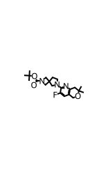 CC(C)(C)OC(=O)N1CC2(CCN(c3nc4c(cc3F)COC(C)(C)C4)C2)C1